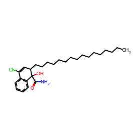 CCCCCCCCCCCCCCCCC1C=C(Cl)c2ccccc2C1(O)C(N)=O